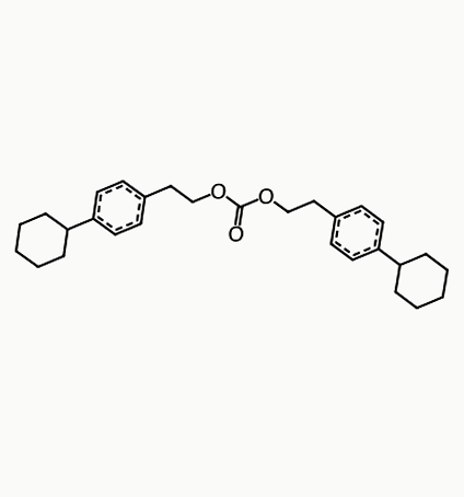 O=C(OCCc1ccc(C2CCCCC2)cc1)OCCc1ccc(C2CCCCC2)cc1